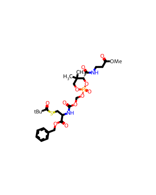 COC(=O)CCNC(=O)[C@@H]1O[P@@](=O)(OCOC(=O)NC(CSC(=O)C(C)(C)C)C(=O)OCc2ccccc2)OCC1(C)C